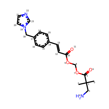 CC(C)(CN)C(=O)OCOC(=O)/C=C/c1ccc(Cn2ccnc2)cc1